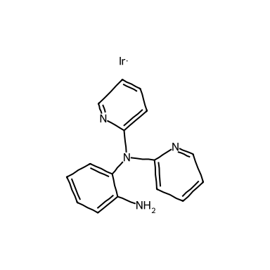 Nc1ccccc1N(c1ccccn1)c1ccccn1.[Ir]